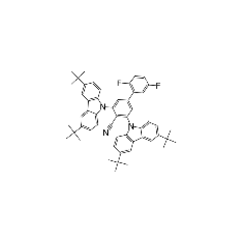 CC(C)(C)c1ccc2c(c1)c1cc(C(C)(C)C)ccc1n2-c1cc(-c2cc(F)ccc2F)cc(-n2c3ccc(C(C)(C)C)cc3c3cc(C(C)(C)C)ccc32)c1C#N